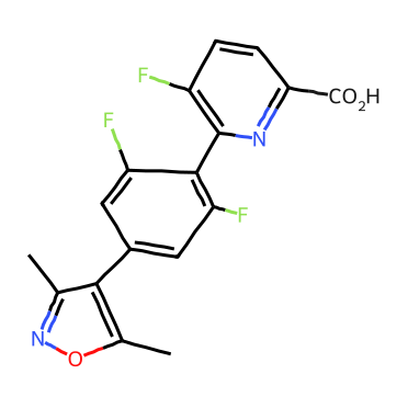 Cc1noc(C)c1-c1cc(F)c(-c2nc(C(=O)O)ccc2F)c(F)c1